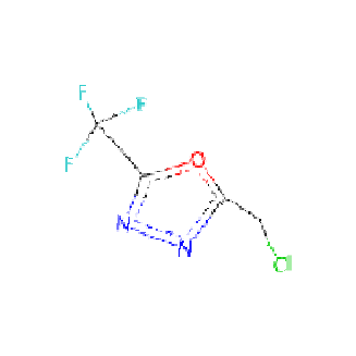 FC(F)(F)c1nnc(CCl)o1